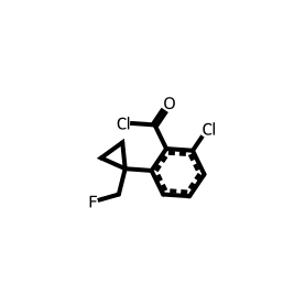 O=C(Cl)c1c(Cl)cccc1C1(CF)CC1